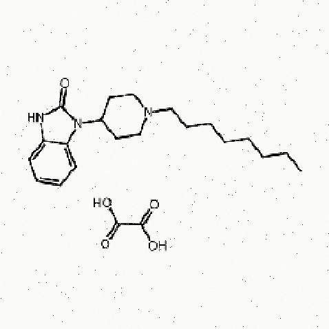 CCCCCCCCN1CCC(n2c(=O)[nH]c3ccccc32)CC1.O=C(O)C(=O)O